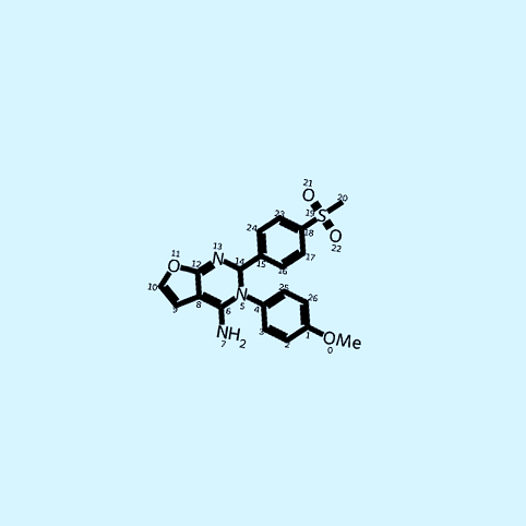 COc1ccc(N2C(N)=c3ccoc3=NC2c2ccc(S(C)(=O)=O)cc2)cc1